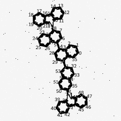 c1ccc2c(-c3ccc(-n4c5ccccc5c5ccccc54)c4ccccc34)ccc(-c3ccc4cc(-n5c6ccccc6c6ccccc65)ccc4c3)c2c1